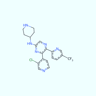 FC(F)(F)c1ccc(-c2ncc(NC3CCNCC3)nc2-c2ccncc2Cl)nc1